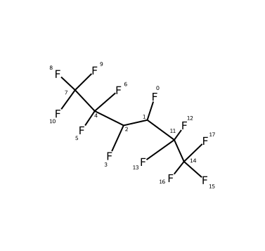 FC(C(F)C(F)(F)C(F)(F)F)C(F)(F)C(F)(F)F